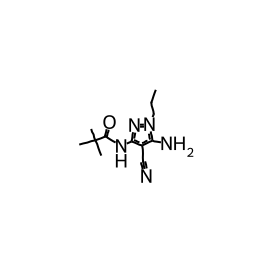 CCCn1nc(NC(=O)C(C)(C)C)c(C#N)c1N